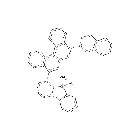 C[Si]1(C)c2ccccc2-c2cccc(-c3cc4cc(-c5ccc6ccccc6c5)c5ccccc5c4c4ccccc34)c21